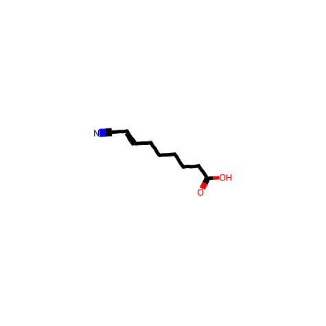 N#CC=CCCCCCC(=O)O